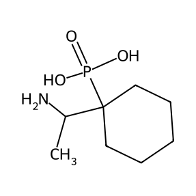 CC(N)C1(P(=O)(O)O)CCCCC1